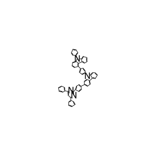 c1ccc(-c2cc(-c3ccccc3)nc(-c3ccc(-c4ccc5c6ccccc6n(-c6ccc(-c7cccc8c7c7ccccc7n8-c7ccccc7)cc6)c5c4)cc3)n2)cc1